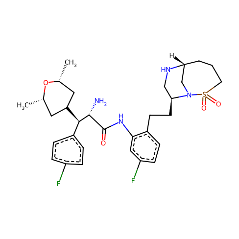 C[C@@H]1CC([C@H](c2ccc(F)cc2)[C@H](N)C(=O)Nc2cc(F)ccc2CC[C@H]2CN[C@@H]3CCCS(=O)(=O)N2C3)C[C@H](C)O1